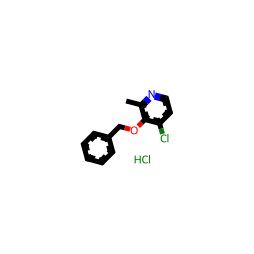 Cc1nccc(Cl)c1OCc1ccccc1.Cl